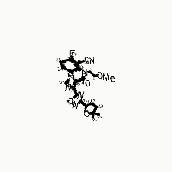 COCCn1c(=O)c2c(-c3nc(C4CCC(C)(C)O4)no3)ncn2c2ccc(F)c(C#N)c21